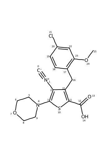 [C-]#[N+]c1c(N2CCOCC2)sc(C(=O)O)c1Cc1ccc(Cl)cc1OC